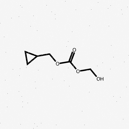 O=C(OCO)OCC1CC1